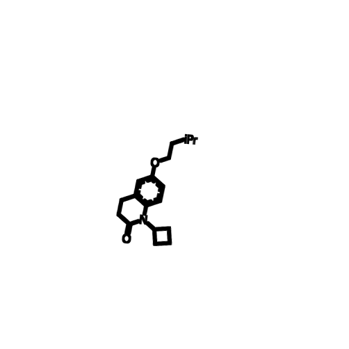 CC(C)CCOc1ccc2c(c1)CCC(=O)N2C1CCC1